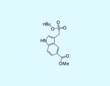 CCCCOS(=O)(=O)Cc1c[nH]c2ccc(C(=O)OC)cc12